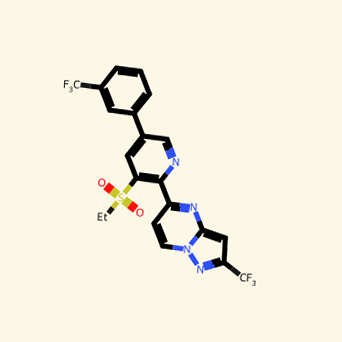 CCS(=O)(=O)c1cc(-c2cccc(C(F)(F)F)c2)cnc1-c1ccn2nc(C(F)(F)F)cc2n1